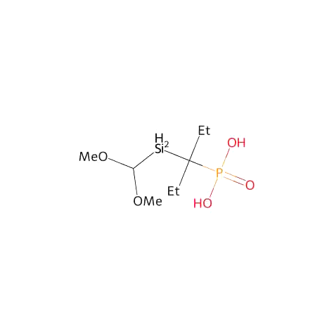 CCC(CC)([SiH2]C(OC)OC)P(=O)(O)O